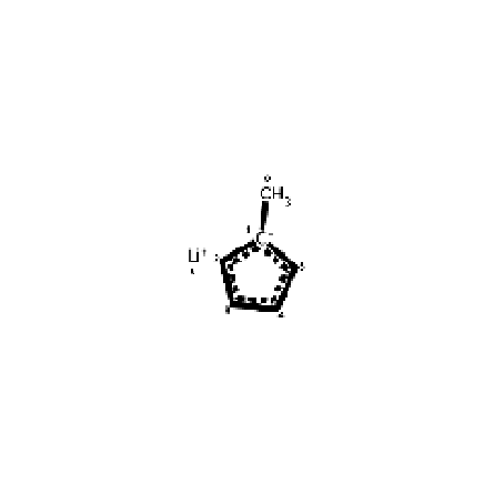 C[c-]1cccc1.[Li+]